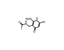 CCc1cc(=O)c(CNC(=O)I)c(NC)[nH]1